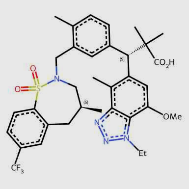 CCn1nnc2c(C)c([C@H](c3ccc(C)c(CN4C[C@@H](C)Cc5cc(C(F)(F)F)ccc5S4(=O)=O)c3)C(C)(C)C(=O)O)cc(OC)c21